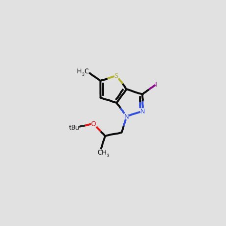 Cc1cc2c(s1)c(I)nn2CC(C)OC(C)(C)C